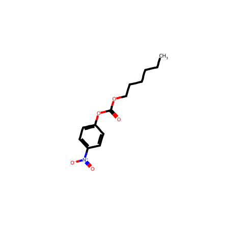 CCCCCCOC(=O)Oc1ccc([N+](=O)[O-])cc1